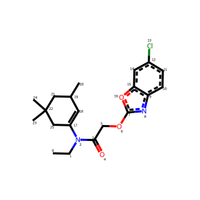 CCN(C(=O)COc1nc2ccc(Cl)cc2o1)C1=CC(C)CC(C)(C)C1